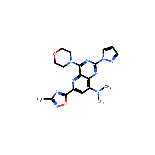 Cc1noc(-c2cc(N(C)C)c3nc(-n4cccn4)nc(N4CCOCC4)c3n2)n1